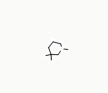 C[C@@H]1CN(C)CC(C)(F)C1